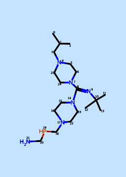 CC(C)CN1CCN(C(=NC(C)(C)C)N2CCN(CPCN)CC2)CC1